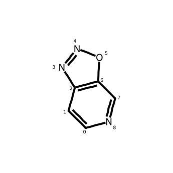 c1cc2nnoc2cn1